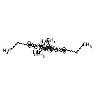 CCCCCCCC/C=C\CCCCCCCC(=O)Oc1ccc(CC(=O)OCCOC(=O)C(CSSCC(NC(=O)CCCN(C)C)C(=O)OCCOC(=O)Cc2ccc(OC(=O)CCCCCCC/C=C\CCCCCCCC)cc2)NC(=O)CCCN(C)C)cc1